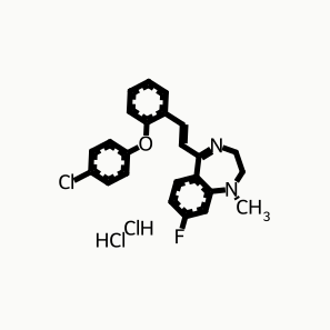 CN1CCN=C(/C=C/c2ccccc2Oc2ccc(Cl)cc2)c2ccc(F)cc21.Cl.Cl